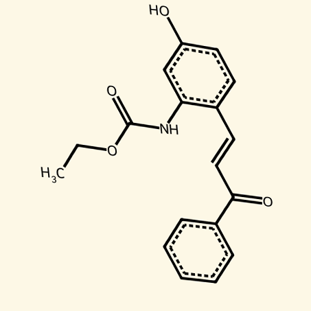 CCOC(=O)Nc1cc(O)ccc1/C=C/C(=O)c1ccccc1